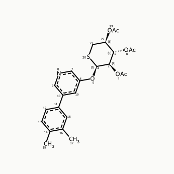 CC(=O)O[C@@H]1[C@@H](OC(C)=O)[C@@H](Oc2cncc(-c3ccc(C)c(C)c3)c2)SC[C@H]1OC(C)=O